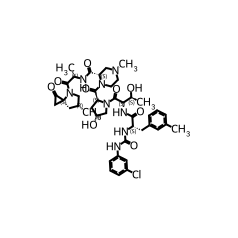 Cc1cccc(C[C@H](NC(=O)Nc2cccc(Cl)c2)C(=O)N[C@H](C(=O)N2C[C@H](O)C[C@H]2C(=O)N2CCN(C)C[C@H]2C(=O)N[C@@H](C)C(=O)N2C[C@H](C)C[C@@]23CC3=O)[C@H](C)O)c1